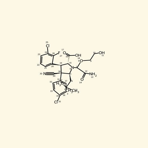 CC(C)(C)C[C@@H]1N(C(OCCO)C(N)=O)[C@@H](C(=O)O)[C@H](c2cccc(Cl)c2F)[C@@]1(C#N)c1ccc(Cl)cc1